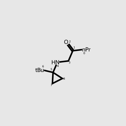 CCCC(=O)CNC1(C(C)(C)C)CC1